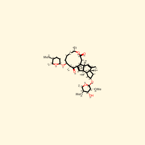 CC[C@H]1CCC[C@H](O[C@H]2CC[C@H](NC)[C@@H](C)O2)[C@@H](C)C(=O)C2=C[C@@H]3[C@@H](C=C(C)[C@@H]4C[C@H](O[C@@H]5O[C@@H](C)[C@H](OC)[C@@H](O)[C@H]5OC)C[C@@H]34)[C@@H]2CC(=O)O1